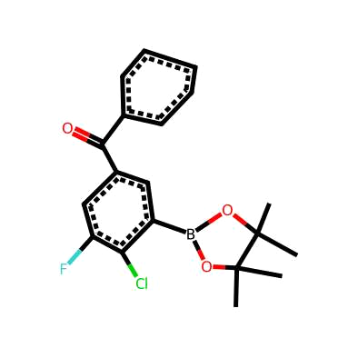 CC1(C)OB(c2cc(C(=O)c3ccccc3)cc(F)c2Cl)OC1(C)C